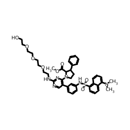 COC(=O)C1C(c2ccccc2)CCN1c1nc(NCCOCCOCCOCCO)ncc1-c1cccc(NS(=O)(=O)c2cccc3c(N(C)C)cccc23)c1